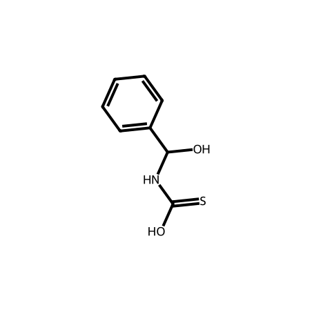 OC(=S)NC(O)c1ccccc1